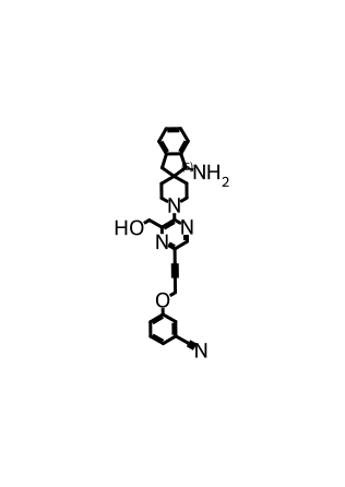 N#Cc1cccc(OCC#Cc2cnc(N3CCC4(CC3)Cc3ccccc3[C@H]4N)c(CO)n2)c1